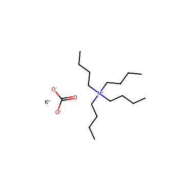 CCCC[N+](CCCC)(CCCC)CCCC.O=C([O-])[O-].[K+]